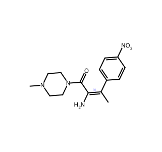 C/C(=C(\N)C(=O)N1CCN(C)CC1)c1ccc([N+](=O)[O-])cc1